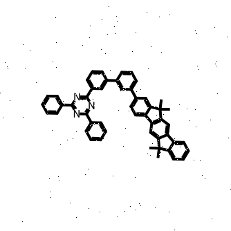 CC1(C)c2ccccc2-c2cc3c(cc21)-c1ccc(-c2cccc(-c4cccc(-c5nc(-c6ccccc6)nc(-c6ccccc6)n5)c4)c2)cc1C3(C)C